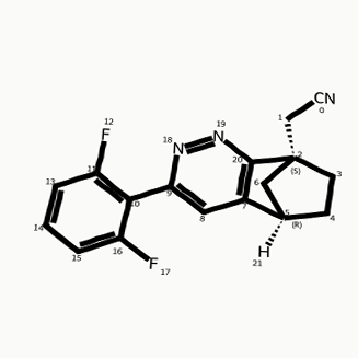 N#CC[C@]12CC[C@H](C1)c1cc(-c3c(F)cccc3F)nnc12